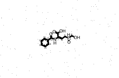 O=C(O)/C(=C\C[PH](=O)CO)NC(=O)c1ccccc1